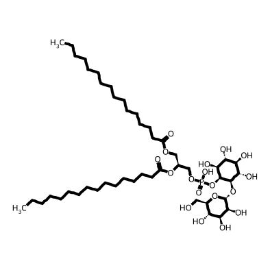 CCCCCCCCCCCCCCCC(=O)OC[C@@H](COP(=O)(O)O[C@H]1[C@@H](O)[C@H](O)[C@@H](O)[C@H](O)[C@H]1O[C@H]1O[C@H](CO)[C@@H](O)[C@H](O)[C@@H]1O)OC(=O)CCCCCCCCCCCCCCC